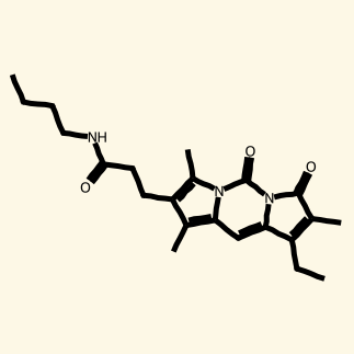 CCCCNC(=O)CCc1c(C)c2cc3n(c(=O)n2c1C)C(=O)C(C)=C3CC